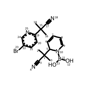 CC(C)(C#N)C1C=CC=CN1B(O)O.CC(C)(C#N)c1ccc(Br)cn1